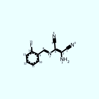 N#C/C(N)=C(\C#N)N=Cc1ccccc1F